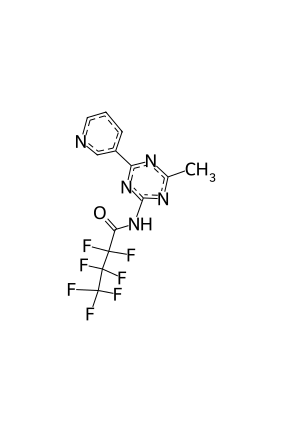 Cc1nc(NC(=O)C(F)(F)C(F)(F)C(F)(F)F)nc(-c2cccnc2)n1